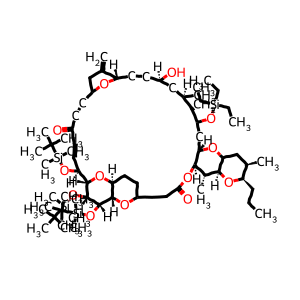 C=C1C(O[Si](CC)(CC)CC)C[C@@H]2OC3C[C@@H](C)[C@@H](CCC)O[C@H]3[C@H](C)[C@H]2OC(=O)CC2CC[C@@H]3O[C@H]([C@@H](O[Si](C)(C)C(C)(C)C)[C@@H](O[Si](C)(C)C(C)(C)C)[C@H]3O2)[C@@H](O[Si](C)(C)C(C)(C)C)/C=C/C(=O)CCC2CC(=C)[C@H](CC[C@@H](O)C[C@H]1C)O2